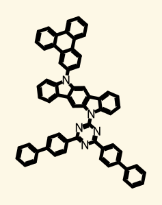 c1ccc(-c2ccc(-c3nc(-c4ccc(-c5ccccc5)cc4)nc(-n4c5ccccc5c5cc6c(cc54)c4ccccc4n6-c4ccc5c6ccccc6c6ccccc6c5c4)n3)cc2)cc1